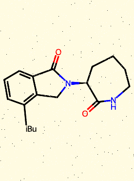 CCC(C)c1cccc2c1CN([C@H]1CCCCNC1=O)C2=O